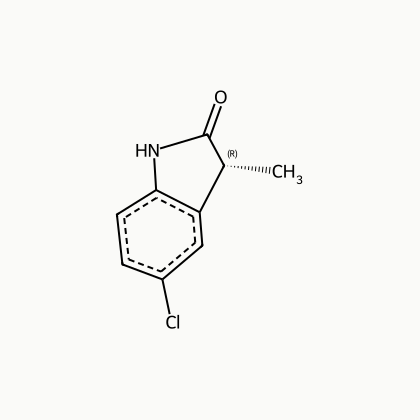 C[C@H]1C(=O)Nc2ccc(Cl)cc21